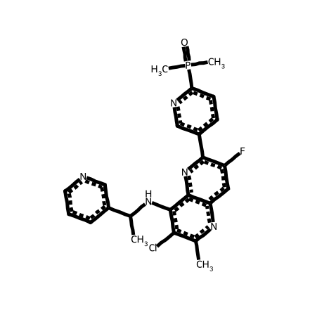 Cc1nc2cc(F)c(-c3ccc(P(C)(C)=O)nc3)nc2c(NC(C)c2cccnc2)c1Cl